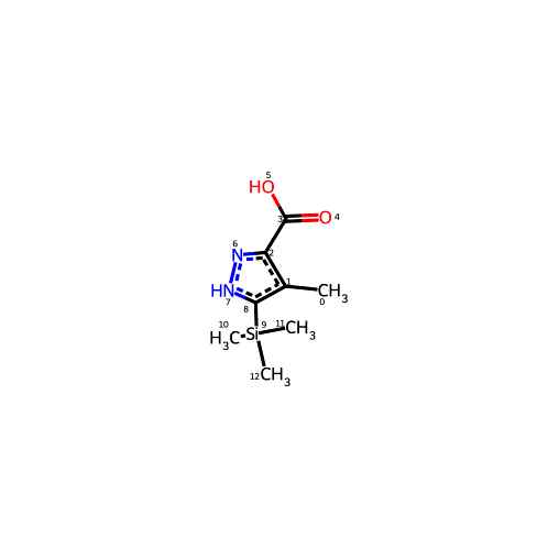 Cc1c(C(=O)O)n[nH]c1[Si](C)(C)C